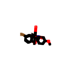 COC1CCC2(CC1)Oc1ccc(Br)cc1C21NC(=O)NC1=O